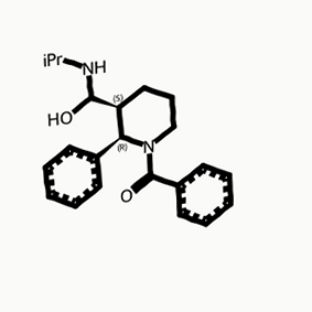 CC(C)NC(O)[C@H]1CCCN(C(=O)c2ccccc2)[C@H]1c1ccccc1